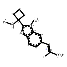 CC(C)NC1(c2nc3ccc(/C=C(\F)C(=O)O)cc3n2C)CCC1